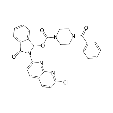 O=C(OC1c2ccccc2C(=O)N1c1ccc2ccc(Cl)nc2n1)N1CCN(C(=O)c2ccccc2)CC1